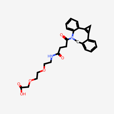 O=C(O)COCCOCCNC(=O)CCC(=O)N1Cc2ccccc2C2=C(C2)c2ccccc21